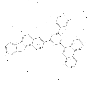 C1=CC(c2nc(-c3ccc4c(ccc5c6ccccc6oc45)c3)nc(-c3cc4ccccc4c4ccccc34)n2)=CCC1